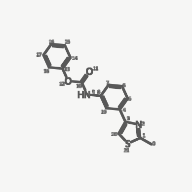 Cc1nc(-c2cccc(NC(=O)Oc3ccccc3)c2)cs1